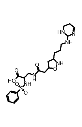 O=C(CC1CC(CCCNC2N=CCCN2)NO1)NCC(NS(=O)(=O)c1ccccc1)C(=O)O